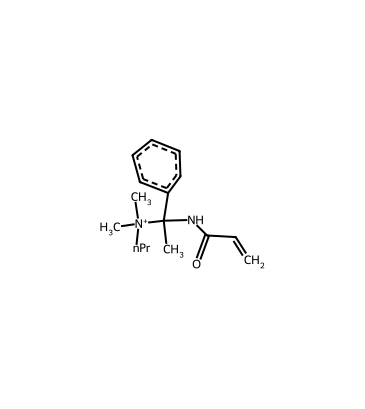 C=CC(=O)NC(C)(c1ccccc1)[N+](C)(C)CCC